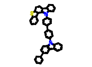 c1ccc(-c2ccc3c(c2)c2ccccc2n3-c2ccc(-c3ccc(-n4c5ccccc5c5ccc6sc7ccccc7c6c54)cc3)cc2)cc1